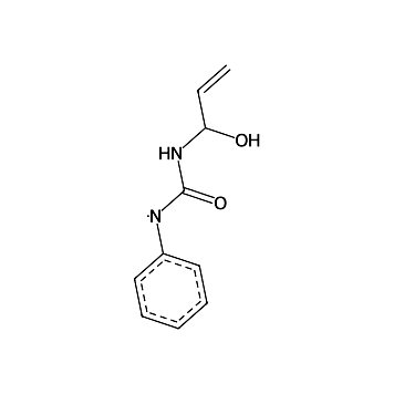 C=CC(O)NC(=O)[N]c1ccccc1